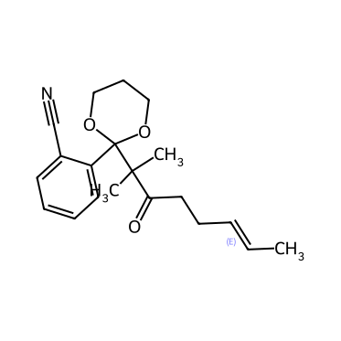 C/C=C/CCC(=O)C(C)(C)C1(c2ccccc2C#N)OCCCO1